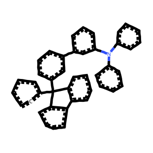 c1ccc(N(c2ccccc2)c2cccc(-c3cccc(C4(c5ccccc5)c5ccccc5-c5ccccc54)c3)c2)cc1